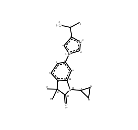 CC(O)c1cn(-c2ccc3c(c2)N(C2CC2)C(=O)C3(C)C)cn1